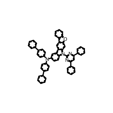 c1ccc(-c2ccc(N(c3ccc(-c4ccccc4)cc3)c3ccc4c(c3)c3cc5c(cc3n4-c3nc(-c4ccccc4)cc(-c4ccccc4)n3)oc3ccccc35)cc2)cc1